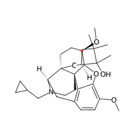 COc1ccc2c3c1OC1[C@@]4(OC)CC[C@@]5(C[C@@H]4C(C)(O)C(C)(C)C)[C@@H](C2)N(CC2CC2)CC[C@]315